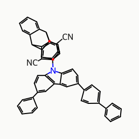 N#Cc1cccc2c1C1c3ccccc3C2c2c1ccc(-n1c3ccc(-c4ccccc4)cc3c3cc(-c4ccc(-c5ccccc5)cc4)ccc31)c2C#N